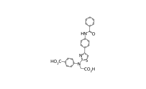 O=C(O)CN(c1ccc(C(=O)O)cc1)c1nc(-c2ccc(NC(=O)c3ccccc3)cc2)cs1